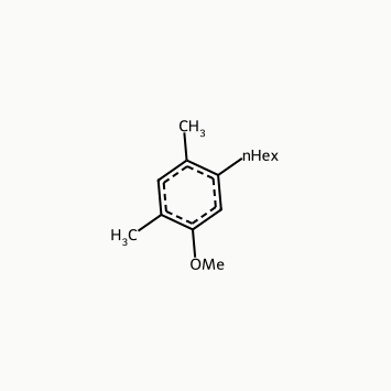 CCCCCCc1cc(OC)c(C)cc1C